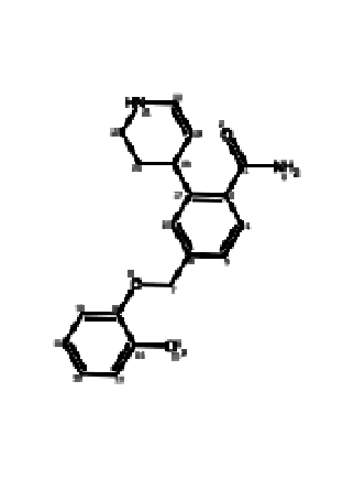 NC(=O)c1ccc(COc2ccccc2C(F)(F)F)cc1C1C=CNCC1